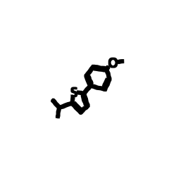 COc1ccc(-c2ccc(C(C)C)s2)cc1